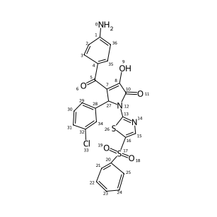 Nc1ccc(C(=O)C2=C(O)C(=O)N(c3ncc(S(=O)(=O)c4ccccc4)s3)C2c2cccc(Cl)c2)cc1